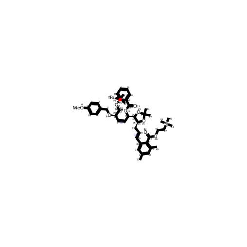 COc1ccc(CO[C@H](/C=C\C(OC(=O)c2ccccc2)[C@H]2OC(C)(C)O[C@H]2C/C=C/c2cc(C)cc(C)c2C(=O)OCC[Si](C)(C)C)[C@H](C)O[Si](C)(C)C(C)(C)C)cc1